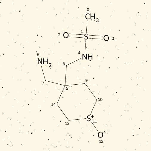 CS(=O)(=O)NCC1(CN)CC[S+]([O-])CC1